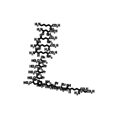 CC(C)C[C@H](N)C(=O)O.CC(C)C[C@H](N)C(=O)O.CC(C)C[C@H](N)C(=O)O.CC(C)C[C@H](N)C(=O)O.CC(C)[C@H](N)C(=O)O.CC[C@H](C)[C@H](N)C(=O)O.CC[C@H](C)[C@H](N)C(=O)O.N=C(N)NCCC[C@H](N)C(=O)O.N=C(N)NCCC[C@H](N)C(=O)O.N=C(N)NCCC[C@H](N)C(=O)O.NC(=O)CC[C@H](N)C(=O)O.NC(=O)C[C@H](N)C(=O)O.NCC(=O)O.NCCCC[C@H](N)C(=O)O.N[C@@H](Cc1c[nH]cn1)C(=O)O